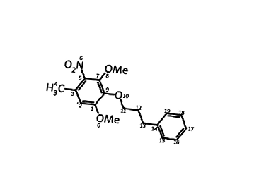 COc1[c]c(C)c([N+](=O)[O-])c(OC)c1OCCCc1ccccc1